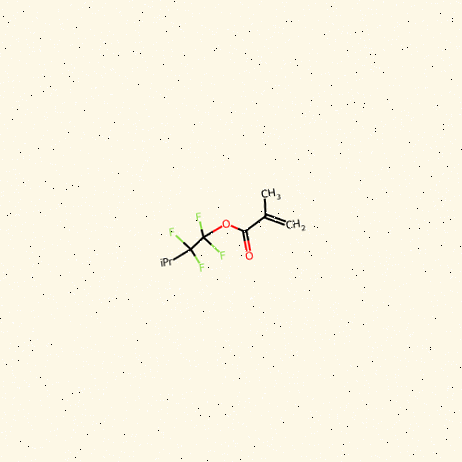 C=C(C)C(=O)OC(F)(F)C(F)(F)C(C)C